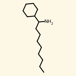 CCCCCCCCC(N)C1CCCCC1